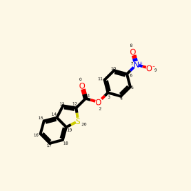 O=C(Oc1ccc([N+](=O)[O-])cc1)c1cc2ccccc2s1